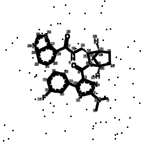 CN(C)c1nc(C(=O)N2[C@@H]3CC[C@@H](C3)[C@H]2CNC(=O)c2cccc3ncsc23)c(-c2cccc(F)c2)s1